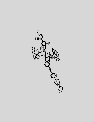 COC(=O)N[C@H](C(=O)N[C@@H](Cc1ccc(C#Cc2ccc(N3CCN([C@H]4CCOC4)CC3)nc2)cc1)[C@@H](O)CN(Cc1c(F)cc(C(=N)/C=C\NC(F)F)cc1F)NC(=O)[C@@H](NC(=O)OC)C(C)(C)C(F)(F)F)C(C)(C)C(F)(F)F